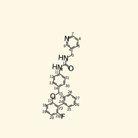 O=C(NCc1cccnc1)Nc1ccc(COc2cccc(F)c2-c2ccccc2)cc1